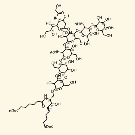 CCCCCCCCCCCCC/C=C/[C@@H](O)[C@H](CO[C@@H]1OC(CO)[C@@H](O[C@@H]2OC(CO)[C@H](O[C@@H]3OC(CO)[C@H](O)[C@H](O[C@@H]4OC(CO)[C@H](O[C@@H]5OC(CO)[C@H](O)[C@H](O[C@@H]6OC(CO)[C@H](O)[C@H](O)C6O)C5NC(C)=O)[C@H](O[C@]5(C(=O)O)CC(O)[C@@H](NC(=O)CO)C([C@H](O)[C@H](O)CO)O5)C4O)C3NC(C)=O)[C@H](O)C2O)[C@H](O)C1O)NC(=O)CCCCCCCCCCCCCCC